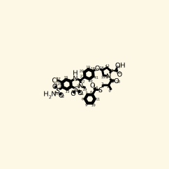 CC(CSC(=O)c1ccccc1)C(=O)N1CC(Oc2ccc(C3Nc4cc(Cl)c(S(N)(=O)=O)cc4S(=O)(=O)N3C)cc2)C[C@H]1C(=O)O